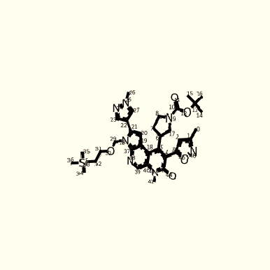 Cc1cc(-c2c(C3CCN(C(=O)OC(C)(C)C)C3)c3c4cc(-c5cnn(C)c5)n(COCC[Si](C)(C)C)c4ncc3n(C)c2=O)on1